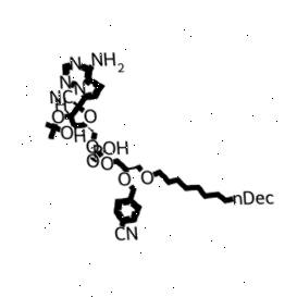 CCCCCCCCCCCCCCCCCCOC[C@H](COP(=O)(O)OC[C@H]1O[C@@](C#N)(c2ccc3c(N)ncnn23)[C@@H]2OC(C)(C)O[C@@H]21)OCc1ccc(C#N)cc1